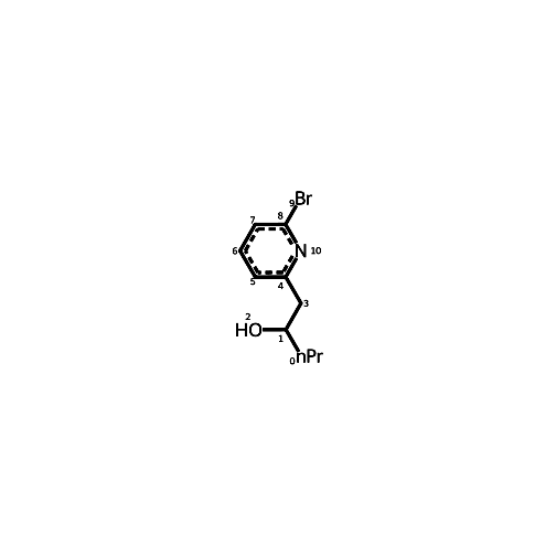 CCCC(O)Cc1cccc(Br)n1